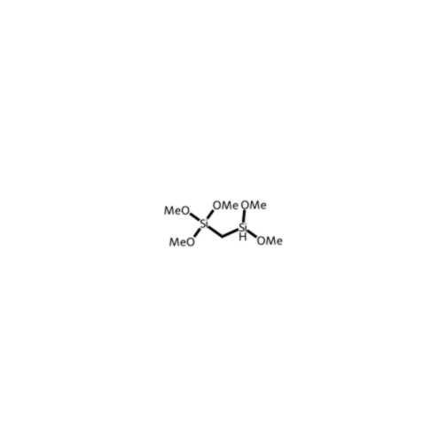 CO[SiH](C[Si](OC)(OC)OC)OC